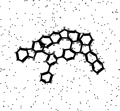 c1ccc(-c2nc(-c3ccc(-n4c5ccccc5c5cc6ccccc6cc54)c(-c4cccc5sc6cc7ccccc7cc6c45)c3)nc(-c3cccc4c3oc3ccccc34)n2)cc1